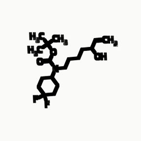 C=CC(O)CCCCN(C(=O)OC(C)(C)C)C1CCC(F)(F)CC1